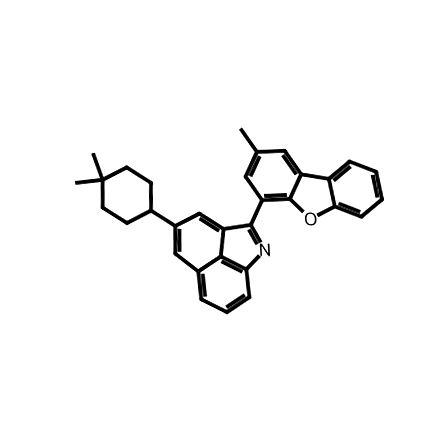 Cc1cc(C2=Nc3cccc4cc(C5CCC(C)(C)CC5)cc2c34)c2oc3ccccc3c2c1